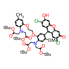 COc1cc(N(CC(=O)OC(C)(C)C)CC(=O)OC(C)(C)C)c(OCCOc2cc(C)ccc2N(CC(=O)OC(C)(C)C)CC(=O)OC(C)(C)C)cc1-c1c2cc(Cl)c(=O)cc-2oc2cc(O)c(Cl)cc12